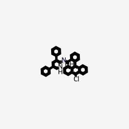 N=C(/N=c1\[nH]cc(-c2ccccc2)cc1-c1ccccc1)c1ccccc1-c1c2ccccc2c(Cl)c2ccccc12